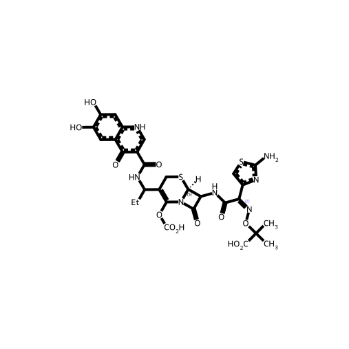 CCC(NC(=O)c1c[nH]c2cc(O)c(O)cc2c1=O)C1=C(OC(=O)O)N2C(=O)C(NC(=O)/C(=N\OC(C)(C)C(=O)O)c3csc(N)n3)[C@@H]2SC1